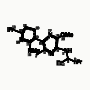 CCCC(CC)Nc1nc(C)c(-c2ccc(C(C)C)nc2NC)nc1OC